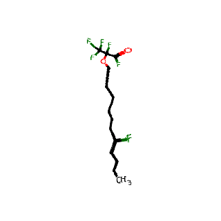 CCCCC(F)CCCCCCOC(F)(C(=O)F)C(F)(F)F